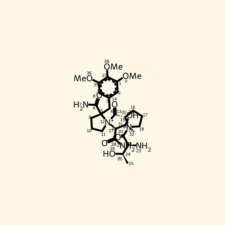 COc1cc(CC2(C(N)=O)CCC[N+]2(C(=O)[C@@H]2CCCN2C(=O)[C@@H](N)[C@@H](C)O)[C@H](C(N)=O)[C@@H](C)O)cc(OC)c1OC